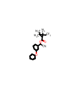 CC1(C)C(C(=O)OC(C#N)c2cccc(Oc3ccccc3)c2)C1(C)CC(F)(F)F